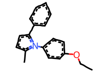 CCOc1ccc(-n2c(C)ccc2-c2ccccc2)cc1